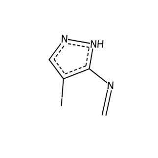 C=Nc1[nH]ncc1I